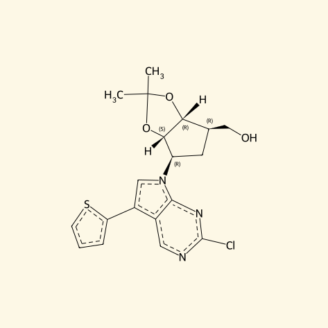 CC1(C)O[C@@H]2[C@@H](CO)C[C@@H](n3cc(-c4cccs4)c4cnc(Cl)nc43)[C@@H]2O1